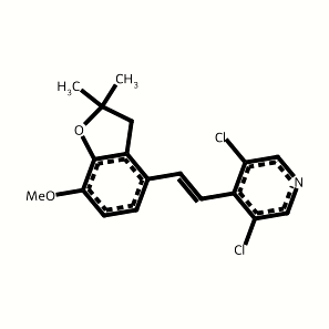 COc1ccc(C=Cc2c(Cl)cncc2Cl)c2c1OC(C)(C)C2